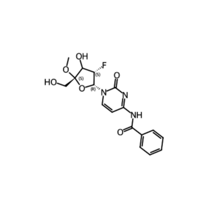 CO[C@@]1(CO)O[C@@H](n2ccc(NC(=O)c3ccccc3)nc2=O)[C@@H](F)C1O